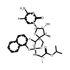 CC(C)OC(=O)[C@H](C)NP(=O)(OC[C@@]1(C(F)F)O[C@@H](n2cc(F)c(N)nc2=O)[C@H](O)[C@H]1F)Oc1cccc2ccccc12